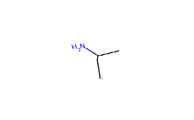 [CH]C(C)N